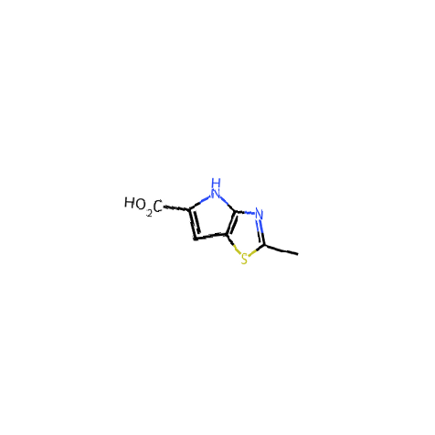 Cc1nc2[nH]c(C(=O)O)cc2s1